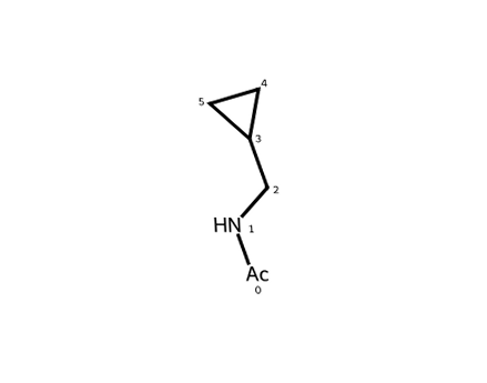 [CH2]C(=O)NCC1CC1